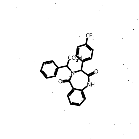 O=C(O)C(c1ccccc1)N1C(=O)c2ccccc2NC(=O)C1c1ccc(C(F)(F)F)cc1